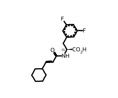 O=C(C=CC1CCCCC1)N[C@@H](Cc1cc(F)cc(F)c1)C(=O)O